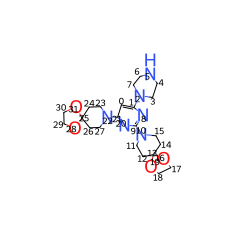 c1c(N2CCNCC2)nc(N2CCC3(CC2)OCCO3)nc1N1CCC2(CC1)OCCO2